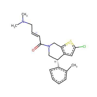 Cc1ccccc1[C@@H]1CN(C(=O)/C=C/CN(C)C)Cc2sc(Cl)cc21